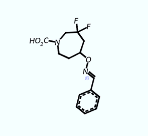 O=C(O)N1CCC(O/N=C/c2ccccc2)CC(F)(F)C1